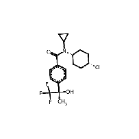 C[C@](O)(c1ccc(C(=O)N(C2CC2)[C@H]2CC[C@@H](Cl)CC2)cc1)C(F)(F)F